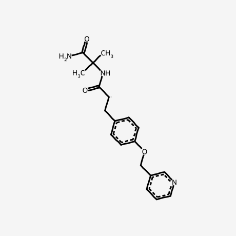 CC(C)(NC(=O)[CH]Cc1ccc(OCc2cccnc2)cc1)C(N)=O